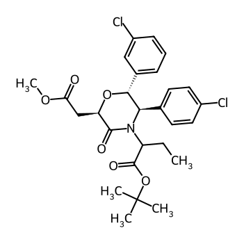 CCC(C(=O)OC(C)(C)C)N1C(=O)[C@@H](CC(=O)OC)O[C@H](c2cccc(Cl)c2)[C@H]1c1ccc(Cl)cc1